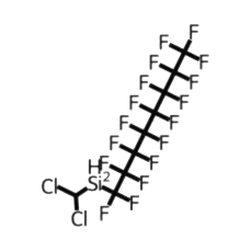 FC(F)(F)C(F)(F)C(F)(F)C(F)(F)C(F)(F)C(F)(F)C(F)(F)C(F)(F)[SiH2]C(Cl)Cl